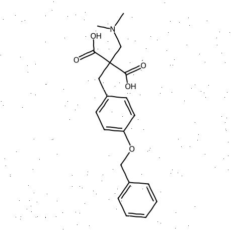 CN(C)CC(Cc1ccc(OCc2ccccc2)cc1)(C(=O)O)C(=O)O